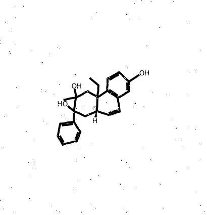 CCC12CC(C)(O)C(O)(c3ccccc3)C[C@H]1C=Cc1cc(O)ccc12